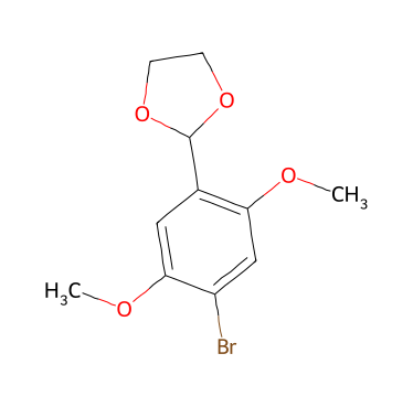 COc1cc(C2OCCO2)c(OC)cc1Br